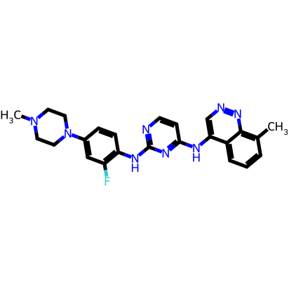 Cc1cccc2c(Nc3ccnc(Nc4ccc(N5CCN(C)CC5)cc4F)n3)cnnc12